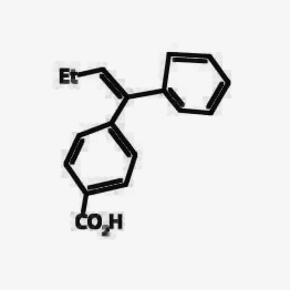 CCC=C(c1ccccc1)c1ccc(C(=O)O)cc1